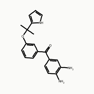 CC(C)(Oc1cccc(C(=O)c2ccc(N)c(N)c2)c1)c1ccc[nH]1